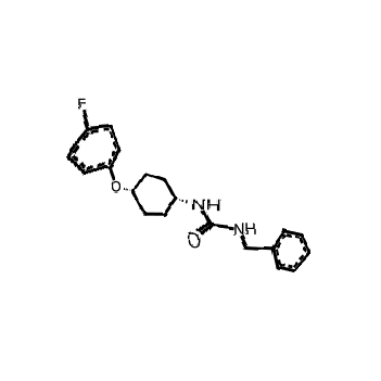 O=C(NCc1ccccc1)N[C@H]1CC[C@@H](Oc2ccc(F)cc2)CC1